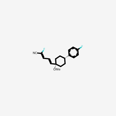 CO[C@]1(C=CC=C(F)C#N)CC[C@H](c2ccc(F)cc2)CC1